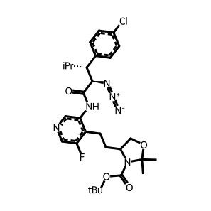 CC(C)[C@H](c1ccc(Cl)cc1)[C@@H](N=[N+]=[N-])C(=O)Nc1cncc(F)c1CCC1COC(C)(C)N1C(=O)OC(C)(C)C